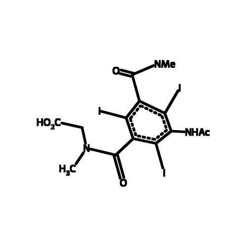 CNC(=O)c1c(I)c(NC(C)=O)c(I)c(C(=O)N(C)CC(=O)O)c1I